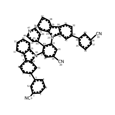 N#Cc1cccc(-c2ccc3c4ccccc4n(-c4cc(C#N)cc(-n5c6ccccc6c6ccc(-c7cccc(C#N)c7)cc65)c4-c4ccncc4)c3c2)c1